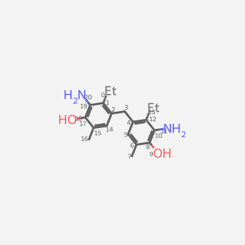 CCc1c(Cc2cc(C)c(O)c(N)c2CC)cc(C)c(O)c1N